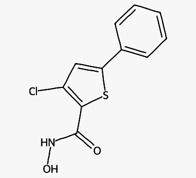 O=C(NO)c1sc(-c2ccccc2)cc1Cl